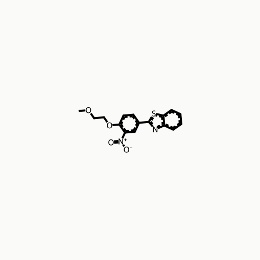 COCCOc1ccc(-c2nc3ccccc3s2)cc1[N+](=O)[O-]